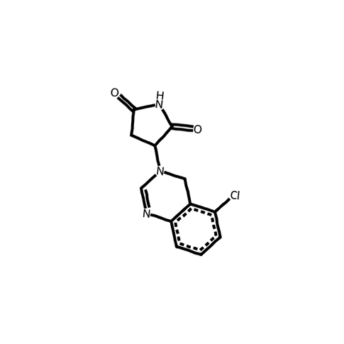 O=C1CC(N2C=Nc3cccc(Cl)c3C2)C(=O)N1